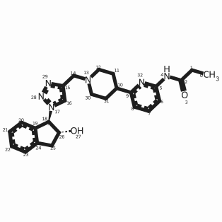 CCC(=O)Nc1cccc(C2CCN(Cc3cn([C@@H]4c5ccccc5C[C@H]4O)nn3)CC2)n1